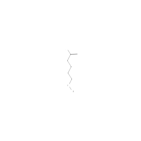 CC(I)CCCCNN